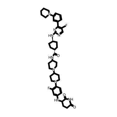 O=C1CCC(Nc2ccc(N3CCC(N4CCC(NC(=O)[C@H]5CC[C@H](Nc6ncc(F)c(-c7cccc(N8CCCCC8)c7)n6)CC5)CC4)CC3)c(F)c2)C(=O)N1